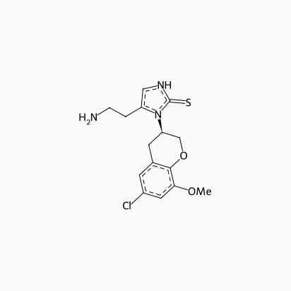 COc1cc(Cl)cc2c1OC[C@H](n1c(CCN)c[nH]c1=S)C2